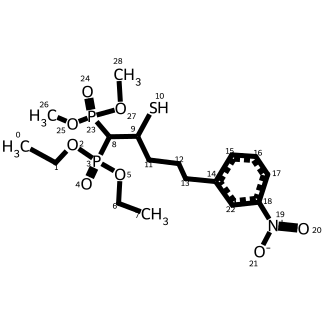 CCOP(=O)(OCC)C(C(S)CCCc1cccc([N+](=O)[O-])c1)P(=O)(OC)OC